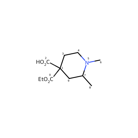 CCOC(=O)C1(C(=O)O)CCN(C)C(C)C1